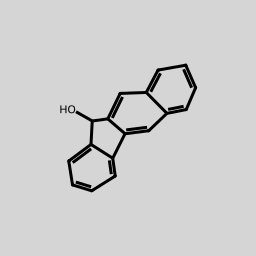 OC1c2ccccc2-c2cc3ccccc3cc21